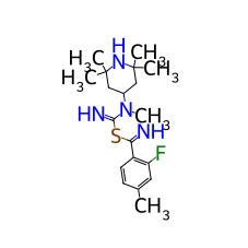 Cc1ccc(C(=N)SC(=N)N(C)C2CC(C)(C)NC(C)(C)C2)c(F)c1